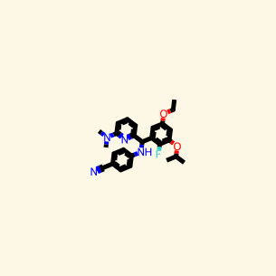 CCOc1cc(OC(C)C)c(F)c(C(Nc2ccc(C#N)cc2)c2cccc(N(C)C)n2)c1